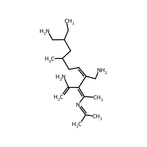 C=C(N)C(=C(/C)N=C(C)C)/C(=C\CC(C)CC(CC)CN)CN